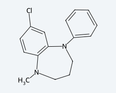 CN1CCCN(c2ccccc2)c2cc(Cl)ccc21